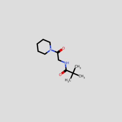 CC(C)(C)C(=O)NCC(=O)N1CCCCC1